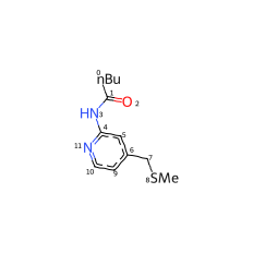 CCCCC(=O)Nc1cc(CSC)ccn1